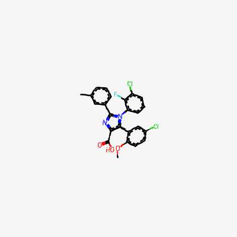 COc1ccc(Cl)cc1-c1c(C(=O)O)nc(-c2cccc(C)c2)n1-c1cccc(Cl)c1F